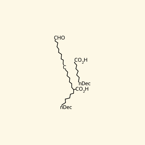 CCCCCCCCCCCCCCCCC(CCCCCCCCCCCCCCCCCC=O)C(=O)O.CCCCCCCCCCCCCCCCCC(=O)O